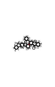 CC1(C)c2ccccc2-c2nc3c4ccccc4n(-c4ccccc4-c4ccc5c(=O)c6ccccc6oc5c4)c3cc21